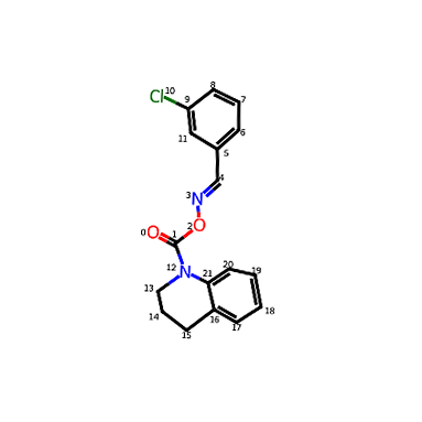 O=C(ON=Cc1cccc(Cl)c1)N1CCCc2ccccc21